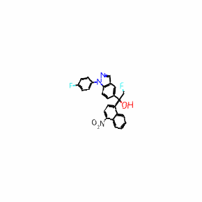 O=[N+]([O-])c1ccc(C(O)(CF)c2ccc3c(cnn3-c3ccc(F)cc3)c2)c2ccccc12